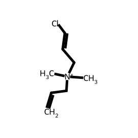 C=CC[N+](C)(C)CC=CCl